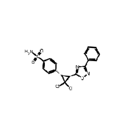 NS(=O)(=O)c1ccc([C@@H]2[C@@H](c3nc(-c4ccccc4)no3)C2(Cl)Cl)cc1